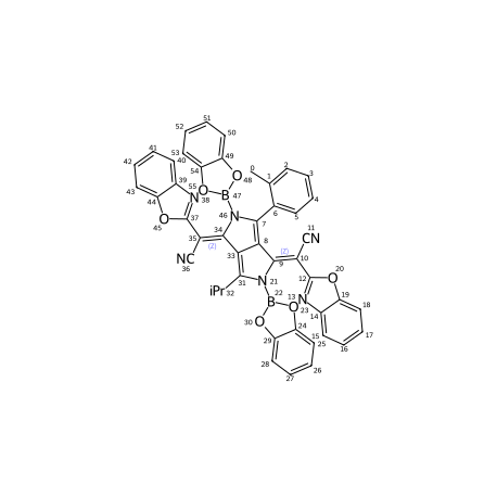 Cc1ccccc1-c1c2/c(=C(\C#N)c3nc4ccccc4o3)n(B3Oc4ccccc4O3)c(C(C)C)c2/c(=C(\C#N)c2nc3ccccc3o2)n1B1Oc2ccccc2O1